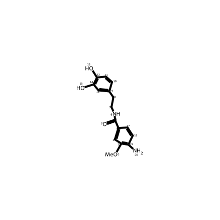 COc1cc(C(=O)NCCc2ccc(O)c(O)c2)ccc1N